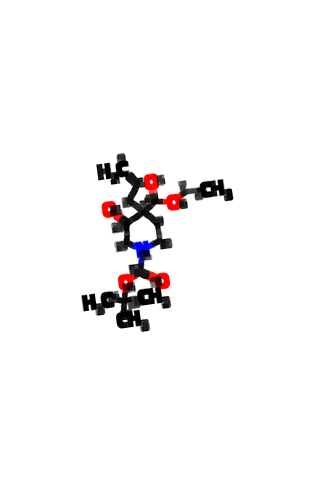 C=CCC1(C(=O)OCC)CCN(C(=O)OC(C)(C)C)CC1=O